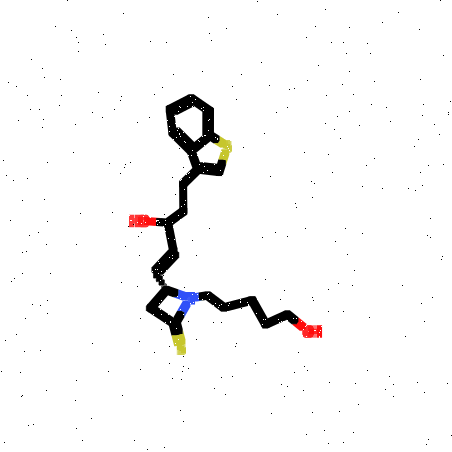 OCCCCCN1C(=S)C[C@@H]1/C=C/C(O)CCc1csc2ccccc12